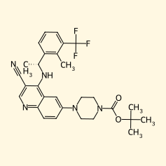 Cc1c([C@@H](C)Nc2c(C#N)cnc3ccc(N4CCN(C(=O)OC(C)(C)C)CC4)cc23)cccc1C(F)(F)F